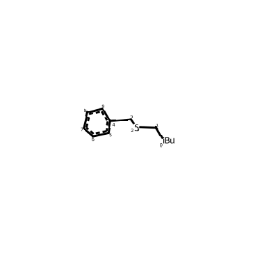 CCC(C)CSCc1ccccc1